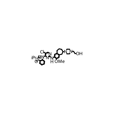 COc1cc2c(cc1Nc1ncc(Cl)c(Nc3ccccc3S(=O)(=O)C(C)C)n1)CCCC(N1CCN(CCO)CC1)C2